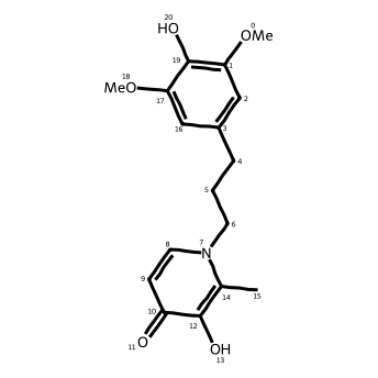 COc1cc(CCCn2ccc(=O)c(O)c2C)cc(OC)c1O